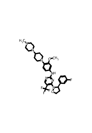 COc1cc(Nc2ncc(C(F)(F)F)c(N3OCCC3c3cccc(F)c3)n2)ccc1N1CCC(N2CCN(C)CC2)CC1